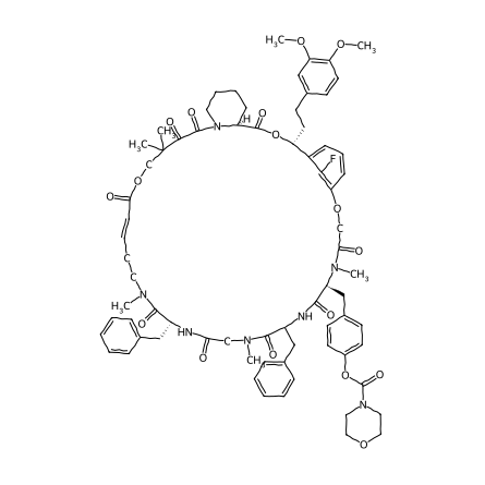 COc1ccc(CC[C@H]2OC(=O)[C@@H]3CCCCN3C(=O)C(=O)C(C)(C)COC(=O)/C=C/CCN(C)C(=O)[C@@H](Cc3ccccc3)NC(=O)CN(C)C(=O)C(Cc3ccccc3)NC(=O)[C@H](Cc3ccc(OC(=O)N4CCOCC4)cc3)N(C)C(=O)COc3cccc2c3F)cc1OC